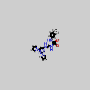 O=c1c(NCCNc2cc(N3CCCC3)nc(N3CCCC3)n2)c(Nc2ccc([N+](=O)[O-])cc2)c1=O